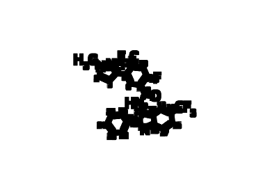 CN1C=CC(c2cc(C(=O)Nc3c4cc(C(F)(F)F)ccc4nn3-c3ccccc3)c(F)cc2C(F)(F)F)N1